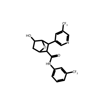 O=C(Nc1cccc(C(F)(F)F)c1)C1C2CC(O)C(O2)C1c1cncc(C(F)(F)F)c1